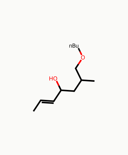 C/C=C/C(O)CC(C)COCCCC